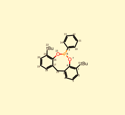 CC(C)(C)c1cccc2c1OP(c1ccccc1)Oc1c(cccc1C(C)(C)C)C2